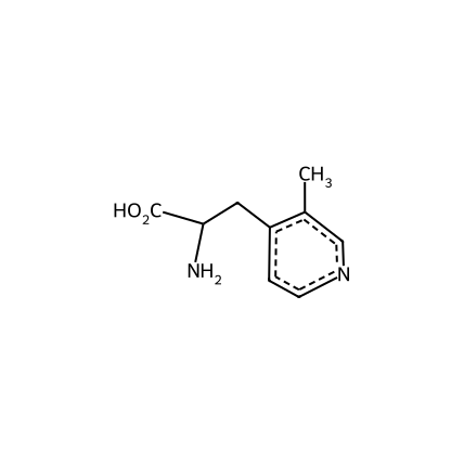 Cc1cnccc1CC(N)C(=O)O